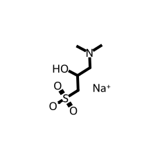 CN(C)CC(O)CS(=O)(=O)[O-].[Na+]